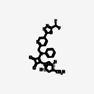 O=C(O)N1C[C@@H]2C[C@H]1CN2c1c(N(Cc2ccc(-c3nnc(C(F)F)o3)cn2)c2ccccc2)c(=O)c1=O